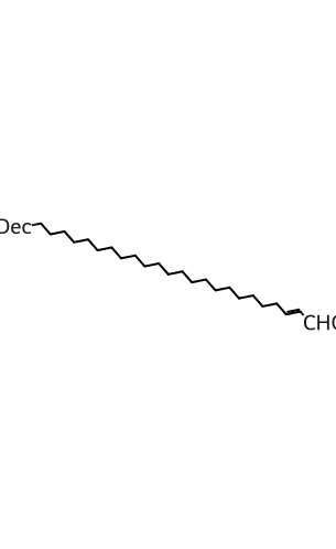 CCCCCCCCCCCCCCCCCCCCCCCCCCCCCCCC=C[C]=O